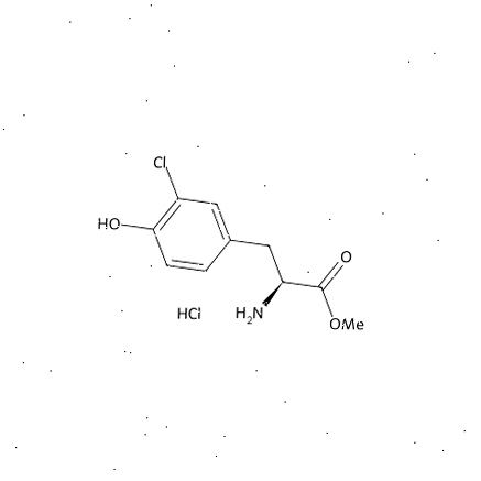 COC(=O)[C@@H](N)Cc1ccc(O)c(Cl)c1.Cl